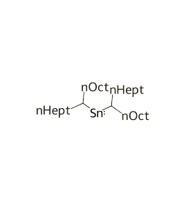 CCCCCCCC[CH](CCCCCCC)[Sn][CH](CCCCCCC)CCCCCCCC